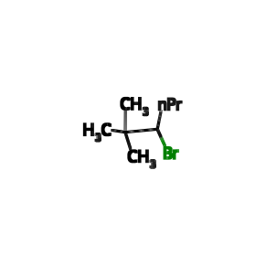 CCCC(Br)C(C)(C)C